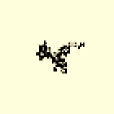 O=C(O)N1CCN(c2nc(OC[C@@]34CCCN3C[C@H](F)C4)nc3c(F)c(Cl)ncc23)CC1